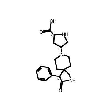 O=C(O)[C@@H]1C[C@H](N2CCC3(CC2)CNC(=O)[C@H]3c2ccccc2)CN1